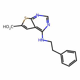 O=C(O)c1cc2c(NCCc3ccccc3)ncnc2s1